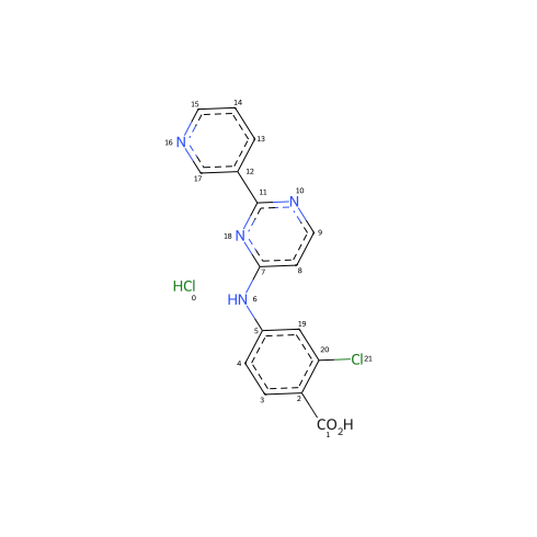 Cl.O=C(O)c1ccc(Nc2ccnc(-c3cccnc3)n2)cc1Cl